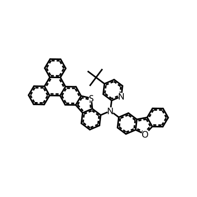 CC(C)(C)c1ccnc(N(c2ccc3oc4ccccc4c3c2)c2cccc3c2sc2cc4c5ccccc5c5ccccc5c4cc23)c1